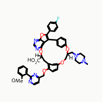 COc1ccccc1-c1nccc(COc2ccc3cc2C[C@H](C(=O)O)Oc2ncnc4oc(-c5ccc(F)cc5)c(c24)-c2ccc(cc2)O[C@H](CN2CCN(C)CC2)CO3)n1